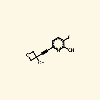 N#Cc1nc(C#CC2(O)COC2)ccc1F